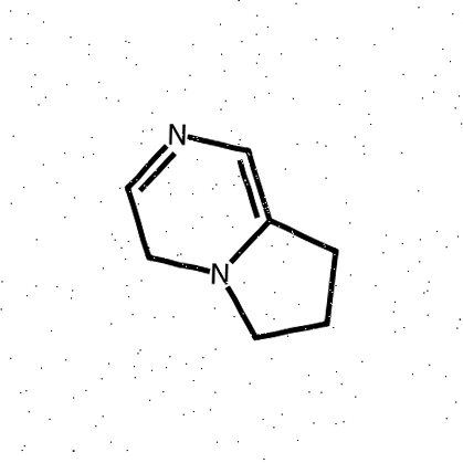 C1=NC=C2CCCN2C1